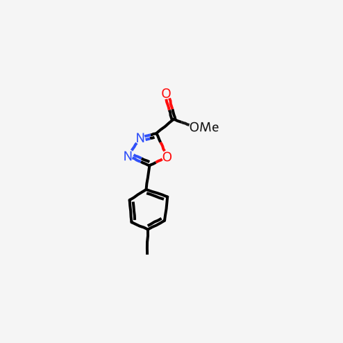 COC(=O)c1nnc(-c2ccc(C)cc2)o1